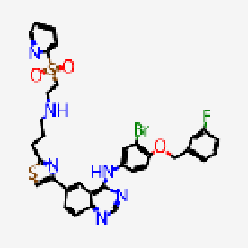 O=S(=O)(CCNCCCc1nc(-c2ccc3ncnc(Nc4ccc(OCc5cccc(F)c5)c(Br)c4)c3c2)cs1)c1ccccn1